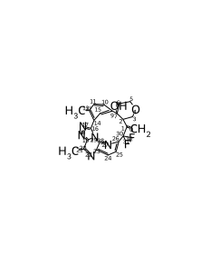 C=C1C2COCCC2(O)c2ccc(C)c(c2)-c2nnc3c(C)nc4ccc(nc4n23)C1(F)F